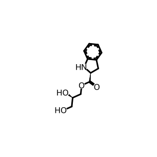 O=C(OC[C@H](O)CO)[C@@H]1Cc2ccccc2N1